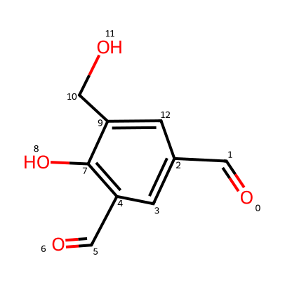 O=Cc1cc(C=O)c(O)c(CO)c1